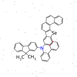 CC1(C)c2ccccc2-c2ccc(N(c3ccc4[se]c5c(ccc6ccc7ccccc7c65)c4c3)c3ccccc3-c3ccccc3)cc21